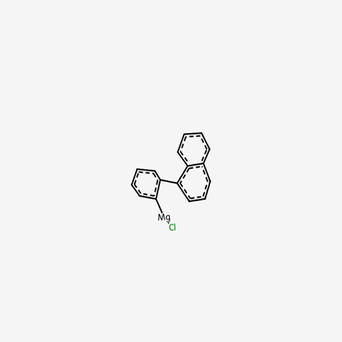 [Cl][Mg][c]1ccccc1-c1cccc2ccccc12